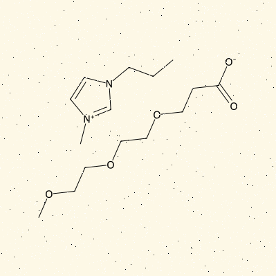 CCCn1cc[n+](C)c1.COCCOCCOCCC(=O)[O-]